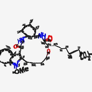 COn1c2c(c3ccccc31)C(=O)Nc1ccccc1NC(=O)[C@H](CCCCCC(=O)O)OCCCC2